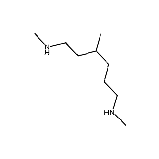 CNCCCC(C)CCNC